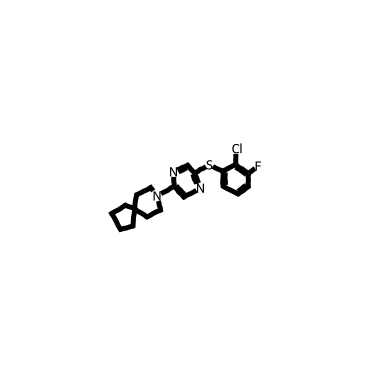 Fc1cccc(Sc2cnc(N3CCC4(CCCC4)CC3)cn2)c1Cl